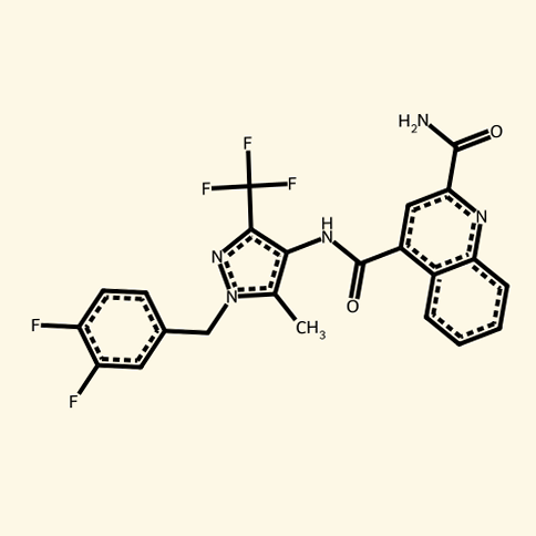 Cc1c(NC(=O)c2cc(C(N)=O)nc3ccccc23)c(C(F)(F)F)nn1Cc1ccc(F)c(F)c1